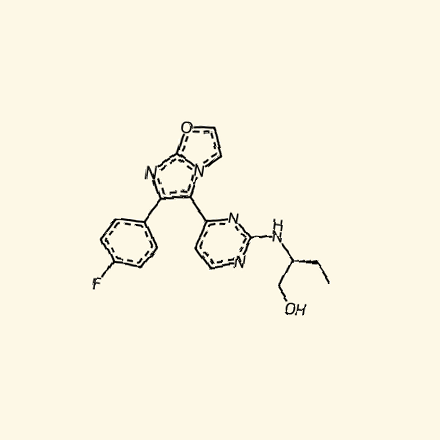 CC[C@@H](CO)Nc1nccc(-c2c(-c3ccc(F)cc3)nc3occn23)n1